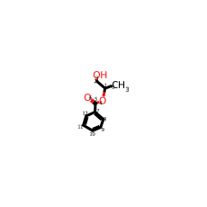 CC(CO)OC(=O)c1ccccc1